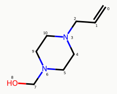 C=CCN1CCN(CO)CC1